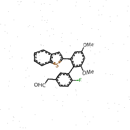 COc1cc(OC)c(-c2cc(CC=O)ccc2F)c(-c2cc3ccccc3s2)c1